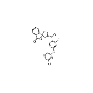 O=C1O[C@]2(CCN(C(=O)c3ccc(Oc4cncc(Cl)n4)cc3Cl)C2)c2ccccc21